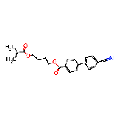 C=C(C)C(=O)OCCCCOC(=O)c1ccc(-c2ccc(C#N)cc2)cc1